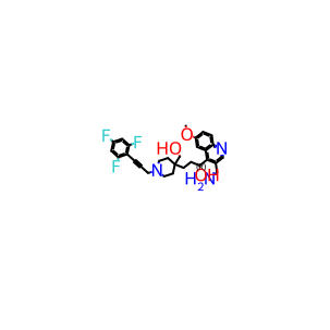 COc1ccc2ncc(CN)c([C@H](O)CCC3(CO)CCN(CC#Cc4c(F)cc(F)cc4F)CC3)c2c1